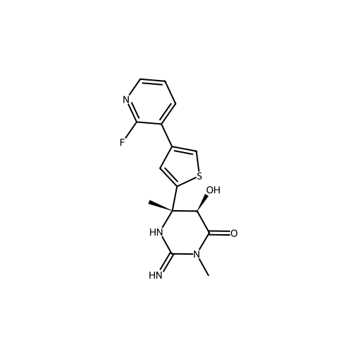 CN1C(=N)N[C@](C)(c2cc(-c3cccnc3F)cs2)[C@@H](O)C1=O